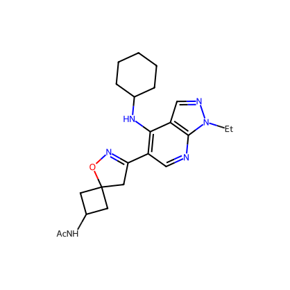 CCn1ncc2c(NC3CCCCC3)c(C3=NOC4(C3)CC(NC(C)=O)C4)cnc21